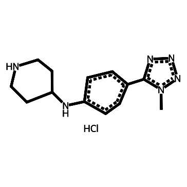 Cl.Cn1nnnc1-c1ccc(NC2CCNCC2)cc1